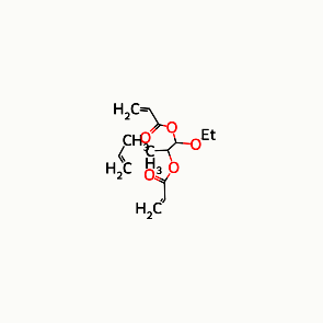 C=CC.C=CC(=O)OC(C)C(OCC)OC(=O)C=C